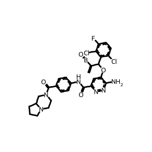 C=C(B=O)C(Oc1cc(C(=O)Nc2ccc(C(=O)N3CCN4CCCC4C3)cc2)nnc1N)c1c(Cl)ccc(F)c1Cl